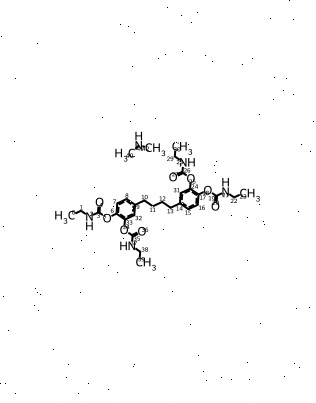 CCNC(=O)Oc1ccc(CCCCc2ccc(OC(=O)NCC)c(OC(=O)NCC)c2)cc1OC(=O)NCC.CNC